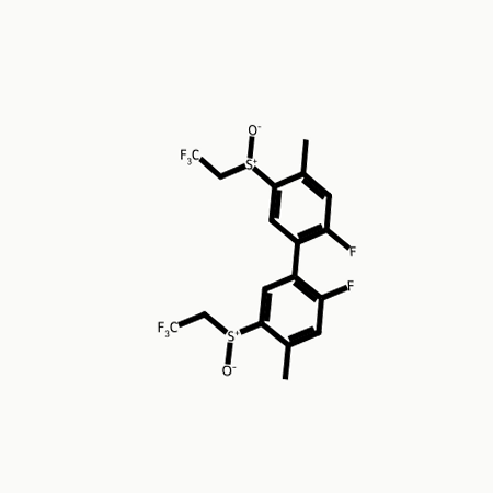 Cc1cc(F)c(-c2cc([S+]([O-])CC(F)(F)F)c(C)cc2F)cc1[S+]([O-])CC(F)(F)F